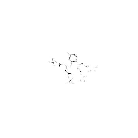 Cc1ccc(N(CCOS(C)(=O)=O)CCOS(C)(=O)=O)c(C[C@@H](CC(=O)OC(C)(C)C)NC(=O)OC(C)(C)C)c1